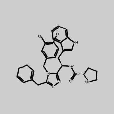 O=C(N[C@H](Cc1c[nH]c2ccccc12)c1nnc(CC2=CCCC=C2)n1Cc1ccc(Cl)c(Cl)c1)[C@@H]1CCCN1